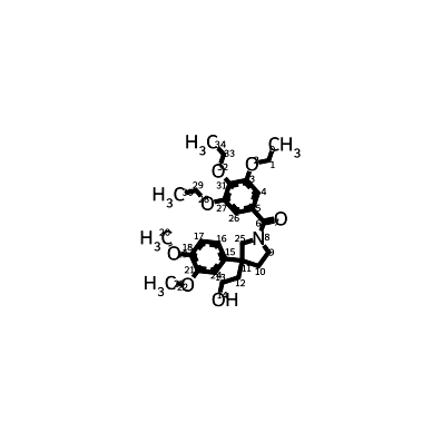 CCOc1cc(C(=O)N2CCC(CCO)(c3ccc(OC)c(OC)c3)C2)cc(OCC)c1OCC